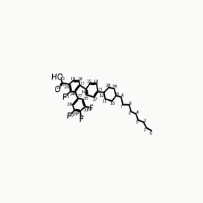 CCCCCCCCCC1CCC(c2ccc(-c3ccc(C(=O)O)c(F)c3-c3cc(F)c(F)c(F)c3)cc2)CC1